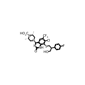 C[C@@H]1CN(c2nc(=O)[nH]c3c(SCC(CO)c4ccc(F)cc4)c(Cl)c(C(F)(F)F)cc23)C[C@H](C)N1C(=O)O